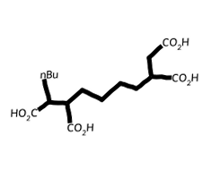 CCCCC(C(=O)O)C(CCCCC(CC(=O)O)C(=O)O)C(=O)O